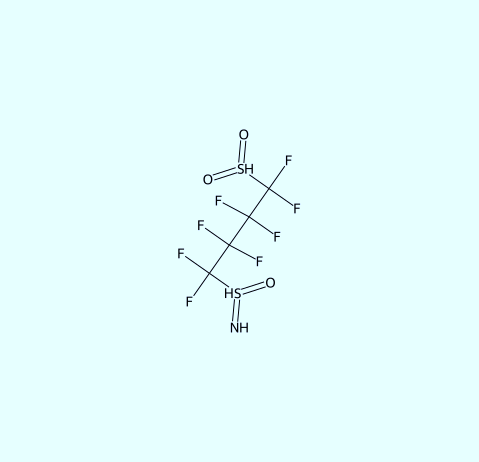 N=[SH](=O)C(F)(F)C(F)(F)C(F)(F)C(F)(F)[SH](=O)=O